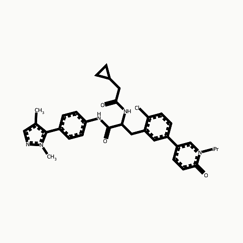 Cc1cnn(C)c1-c1ccc(NC(=O)C(Cc2cc(-c3ccc(=O)n(C(C)C)c3)ccc2Cl)NC(=O)CC2CC2)cc1